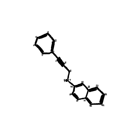 C(#Cc1ccccc1)CNc1ccc2ccccc2c1